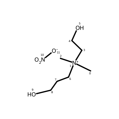 C[N+](C)(CCO)CCCO.O=[N+]([O-])[O-]